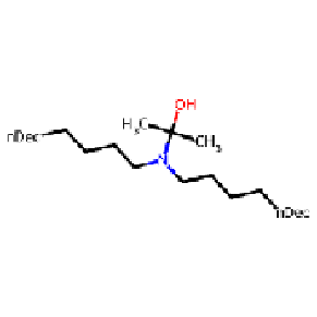 CCCCCCCCCCCCCCN(CCCCCCCCCCCCCC)C(C)(C)O